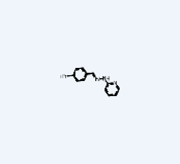 CC(C)c1ccc(/C=N/Nc2ccccn2)cc1